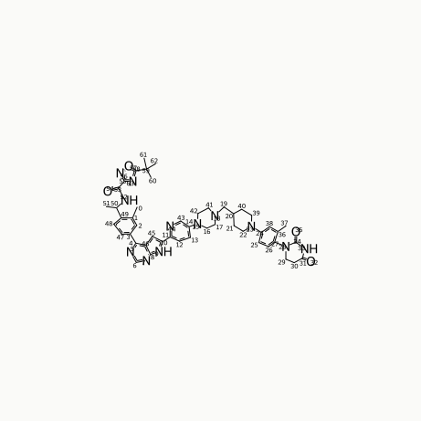 Cc1cc(-c2ncnc3[nH]c(-c4ccc(N5CCN(CC6CCN(c7ccc(N8CCC(=O)NC8=O)c(C)c7)CC6)CC5)cn4)cc23)ccc1C(C)NC(=O)c1noc(C(C)(C)C)n1